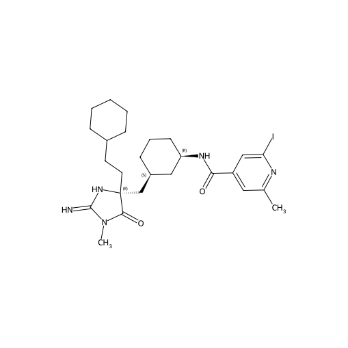 Cc1cc(C(=O)N[C@@H]2CCC[C@H](C[C@@]3(CCC4CCCCC4)NC(=N)N(C)C3=O)C2)cc(I)n1